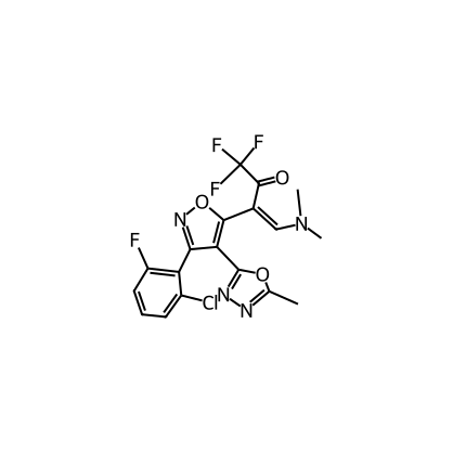 Cc1nnc(-c2c(-c3c(F)cccc3Cl)noc2/C(=C/N(C)C)C(=O)C(F)(F)F)o1